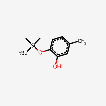 CC(C)(C)[Si](C)(C)Oc1ccc(C(F)(F)F)cc1O